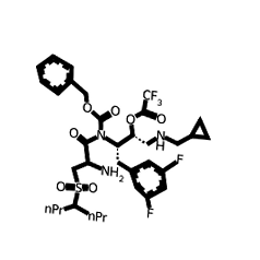 CCCC(CCC)S(=O)(=O)CC(N)C(=O)N(C(=O)OCc1ccccc1)[C@@H](Cc1cc(F)cc(F)c1)[C@@H](CNCC1CC1)OC(=O)C(F)(F)F